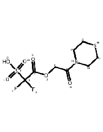 O=C(COC(=O)C(F)(F)S(=O)(=O)O)N1CCSCC1